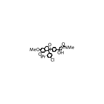 CNC(=O)N1CC(O)(c2ccc(N3C(=O)Cc4cc(OC)c(OC(C)C)cc4C3c3ccc(Cl)cc3)cc2)C1